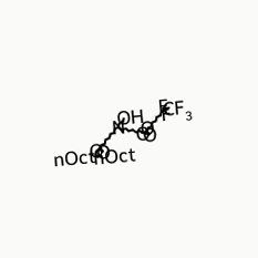 CCCCCCCCC(CCCCCCCC)OC(=O)CCCCCCCN(CCO)CCCCCCOC(=O)OCCCCCCC(F)(F)C(F)(F)F